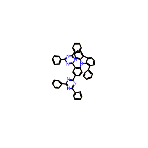 c1ccc(-c2nc(-c3ccccc3)nc(-c3ccc(-n4c5ccccc5c5cccc(-c6ccccc6)c54)c(-c4nc(-c5ccccc5)nc(-c5ccccc5)n4)c3)n2)cc1